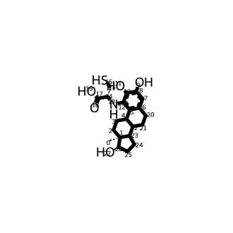 C[C@]12CCC3c4c(cc(O)c(O)c4N[C@@H](CS)C(=O)O)CCC3C1CC[C@@H]2O